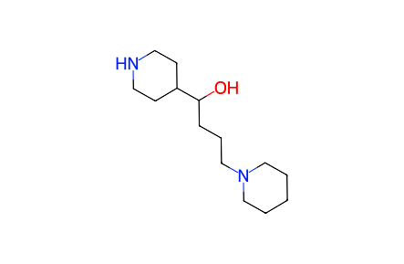 OC(CCCN1CCCCC1)C1CCNCC1